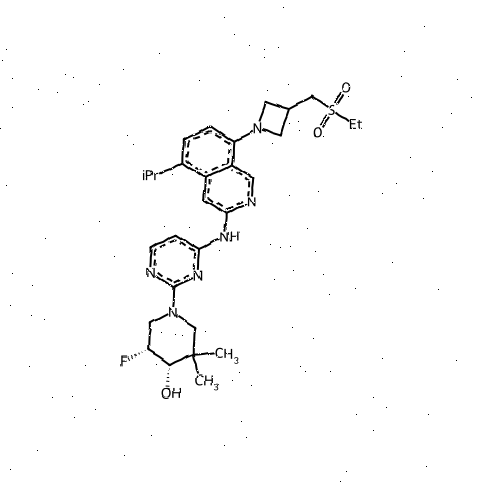 CCS(=O)(=O)CC1CN(c2ccc(C(C)C)c3cc(Nc4ccnc(N5C[C@@H](F)[C@@H](O)C(C)(C)C5)n4)ncc23)C1